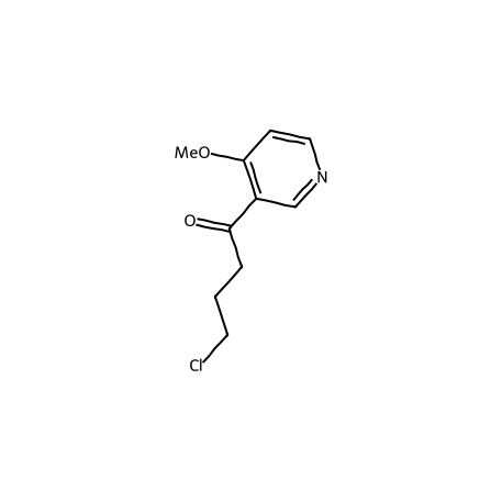 COc1ccncc1C(=O)CCCCl